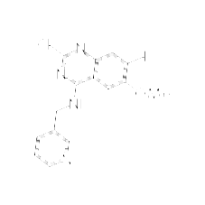 COc1cc2c(NCc3cccnc3)nc(Cl)nc2cc1I